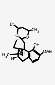 CCC1CC(C)O[C@]2(CCC3(O)[C@H]4Cc5ccc(OC)c(O)c5[C@@]3(CCN4C)C2)O1